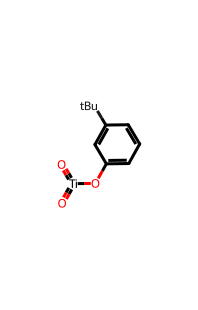 CC(C)(C)c1cccc([O][Ti](=[O])=[O])c1